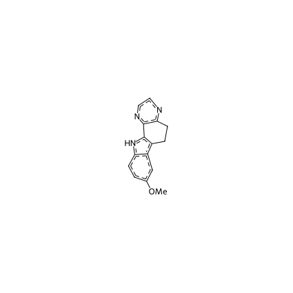 COc1ccc2[nH]c3c(c2c1)CCc1nccnc1-3